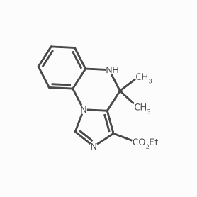 CCOC(=O)c1ncn2c1C(C)(C)Nc1ccccc1-2